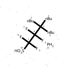 CCCCC(CCCC)(CCCC)C(F)(F)C(F)(F)S(=O)(=O)O.P